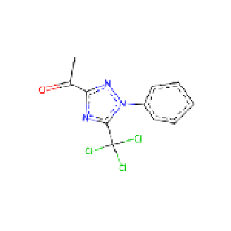 CC(=O)c1nc(C(Cl)(Cl)Cl)n(-c2ccccc2)n1